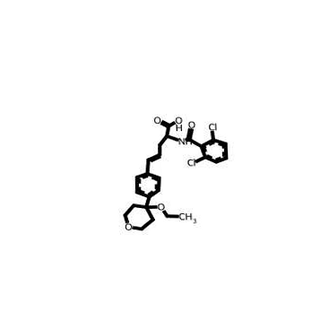 CCOC1(c2ccc(C=CCC(NC(=O)c3c(Cl)cccc3Cl)C(=O)O)cc2)CCOCC1